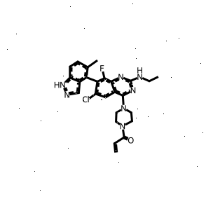 C=CC(=O)N1CCN(c2nc(NCC)nc3c(F)c(-c4c(C)ccc5[nH]ncc45)c(Cl)cc23)CC1